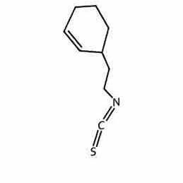 S=C=NCCC1C=CCCC1